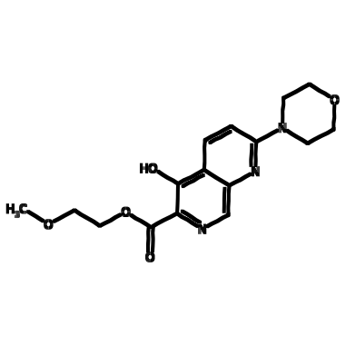 COCCOC(=O)c1ncc2nc(N3CCOCC3)ccc2c1O